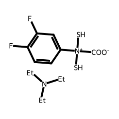 CCN(CC)CC.O=C([O-])[N+](S)(S)c1ccc(F)c(F)c1